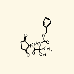 CC(O)(NC(=O)OCc1ccccc1)C(=O)ON1C(=O)CCC1=O